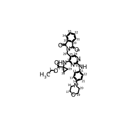 CCOC(=O)C1(Nc2nc(Nc3ccc(N4CCOCC4)cc3)ncc2CN2C(=O)c3ccccc3C2=O)CC1